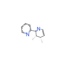 C[C@@H]1C(c2ccccn2)=NC=C[C@@H]1C